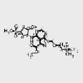 COC(=O)c1nn(COCC[Si](C)(C)C)c2ncnc(N[C@@H]3CC(S(C)(=O)=O)C[C@H]3O)c12